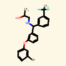 CC(C)c1cccc(Oc2cccc(C(NCC(O)C(F)(F)F)c3cccc(C(F)(F)C(F)(F)F)c3)c2)c1